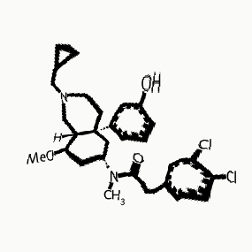 COC1C[C@@H](N(C)C(=O)Cc2ccc(Cl)c(Cl)c2)C[C@]2(c3cccc(O)c3)CCN(CC3CC3)C[C@@H]12